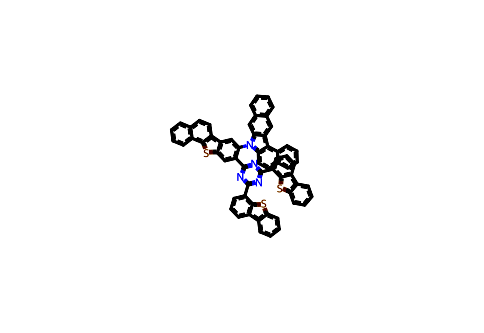 c1ccc2cc3c(cc2c1)c1c2ccccc2ccc1n3-c1cc2c(cc1-c1nc(-c3cccc4c3sc3ccccc34)nc(-c3cccc4c3sc3ccccc34)n1)sc1c3ccccc3ccc21